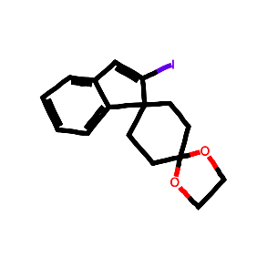 IC1=Cc2ccccc2C12CCC1(CC2)OCCO1